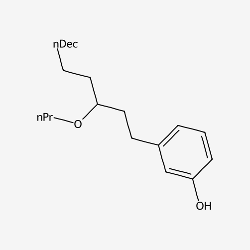 CCCCCCCCCCCCC(CCc1cccc(O)c1)OCCC